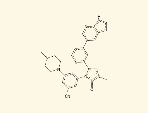 CN1CCN(c2cc(C#N)cc(-n3c(-c4cc(-c5cnc6[nH]ccc6c5)ccn4)cn(C)c3=O)c2)CC1